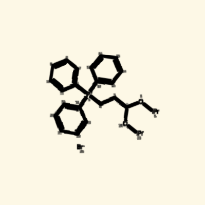 CC(C)OC(CC[P+](c1ccccc1)(c1ccccc1)c1ccccc1)OC(C)C.[Br-]